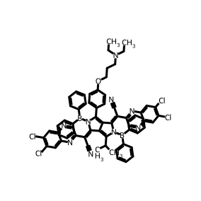 CCN(CC)CCCOc1ccc(-c2c3/c(=C(\C#N)c4cnc5cc(Cl)c(Cl)cc5n4)n(B(c4ccccc4)c4ccccc4)c(C(C)C)c3/c(=C(\C#N)c3cnc4cc(Cl)c(Cl)cc4n3)n2B(c2ccccc2)c2ccccc2)cc1